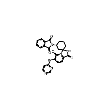 O=C1NC2(CCC[C@H](N3C(=O)c4ccccc4C3=O)C2)n2c1ccc(Nc1ccncn1)c2=O